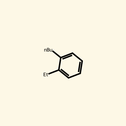 CCCCc1ccccc1CC